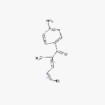 CC/C=C\C=C(/C)C(=O)c1ccc(N)cc1